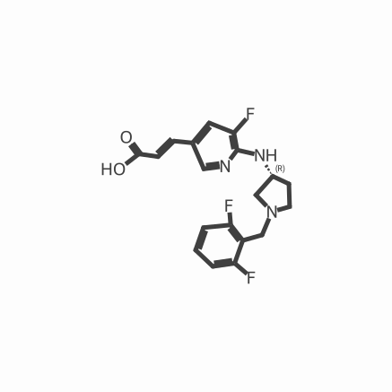 O=C(O)C=Cc1cnc(N[C@@H]2CCN(Cc3c(F)cccc3F)C2)c(F)c1